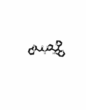 O=C(Cc1cnc2ccccn12)Nc1cc(-c2[nH]c3cccnc3c2-c2ccccn2)ccn1